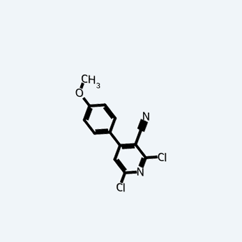 COc1ccc(-c2cc(Cl)nc(Cl)c2C#N)cc1